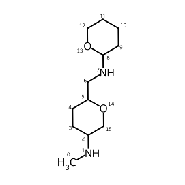 CNC1CCC(CNC2CCCCO2)OC1